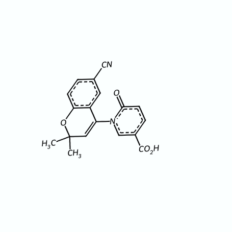 CC1(C)C=C(n2cc(C(=O)O)ccc2=O)c2cc(C#N)ccc2O1